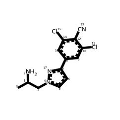 CC(N)Cn1ccc(-c2cc(Cl)c(C#N)c(Cl)c2)n1